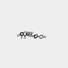 O=C(Nc1ccc(N2CCNCC2)nc1)c1cc(C(=O)c2c(Cl)ccc(Cl)c2F)c[nH]1